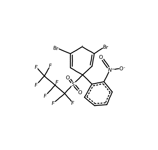 O=[N+]([O-])c1ccccc1C1(S(=O)(=O)C(F)(F)C(F)(F)C(F)(F)F)C=C(Br)[CH]C(Br)=C1